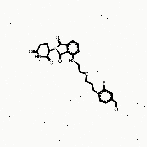 O=Cc1ccc(CCCOCCNc2cccc3c2C(=O)N(C2CCC(=O)NC2=O)C3=O)c(F)c1